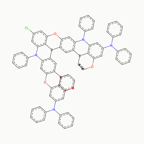 Clc1cc2c3c(c1)N(c1ccccc1)c1cc4c(cc1B3c1cc3c(cc1O2)N(c1ccccc1)c1cc(N(c2ccccc2)c2ccccc2)cc2c1B3c1ccccc1O2)B1c2ccccc2Oc2cc(N(c3ccccc3)c3ccccc3)cc(c21)O4